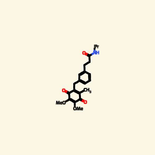 COC1=C(OC)C(=O)C(Cc2cccc(CCC(=O)NC(C)C)c2)=C(C)C1=O